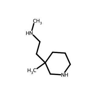 CNCCC1(C)CCCNC1